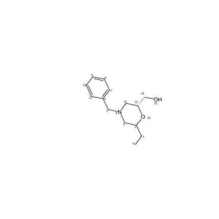 CCC1CN(Cc2ccccc2)C[C@H](CO)O1